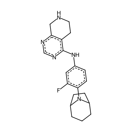 Fc1cc(Nc2ncnc3c2CCNC3)ccc1N1C2CCCC1CC2